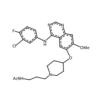 COc1cc2ncnc(Nc3ccc(F)c(Cl)c3)c2cc1OC1CCN(CCCNC(C)=O)CC1